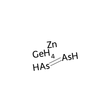 [AsH]=[AsH].[GeH4].[Zn]